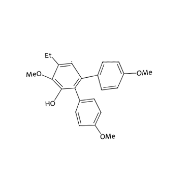 CCc1[c]c(-c2ccc(OC)cc2)c(-c2ccc(OC)cc2)c(O)c1OC